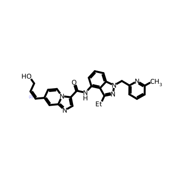 CCc1nn(Cc2cccc(C)n2)c2cccc(NC(=O)c3cnc4cc(/C=C\CO)ccn34)c12